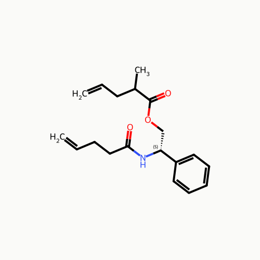 C=CCCC(=O)N[C@H](COC(=O)C(C)CC=C)c1ccccc1